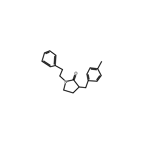 Cc1ccc(CC2CCN(CCc3ccccc3)C2=O)cc1